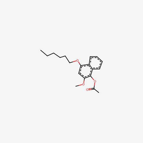 CCCCCCOc1cc(OC)c(OC(C)=O)c2ccccc12